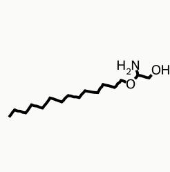 CCCCCCCCCCCCCCOC(N)CO